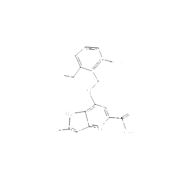 CCc1cccc(C)c1CNc1cc(C(=O)O)nc2cc(C)[nH]c12